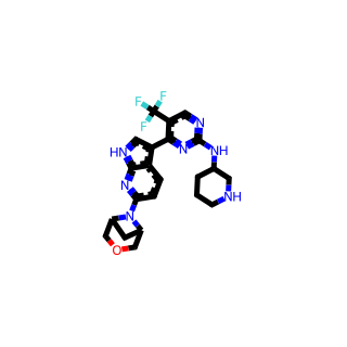 FC(F)(F)c1cnc(NC2CCCNC2)nc1-c1c[nH]c2nc(N3C4COCC3C4)ccc12